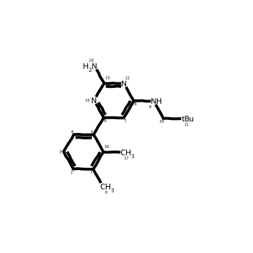 Cc1cccc(-c2cc(NCC(C)(C)C)nc(N)n2)c1C